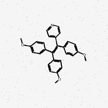 COc1ccc(C(=C(c2ccc(OC)cc2)c2ccc(OC)cc2)c2ccncc2)cc1